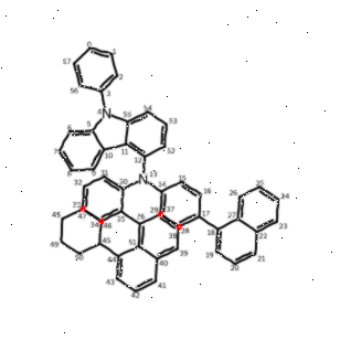 c1ccc(-n2c3ccccc3c3c(N(c4ccc(-c5cccc6ccccc56)cc4)c4ccccc4-c4cccc5cccc(C6CCCCC6)c45)cccc32)cc1